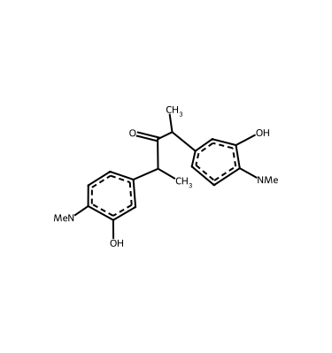 CNc1ccc(C(C)C(=O)C(C)c2ccc(NC)c(O)c2)cc1O